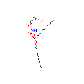 CCCCCCCCCCCCCCOC[C@H](COC(=O)NCCOC(C)(C)CCOC(C)CCOC)OCCCCCCCCCCCCCC